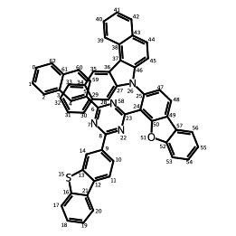 c1ccc2cc(-c3nc(-c4ccc5c(c4)sc4ccccc45)nc(-c4c(-n5c6cc7ccccc7cc6c6c7ccccc7ccc65)ccc5c4oc4ccccc45)n3)ccc2c1